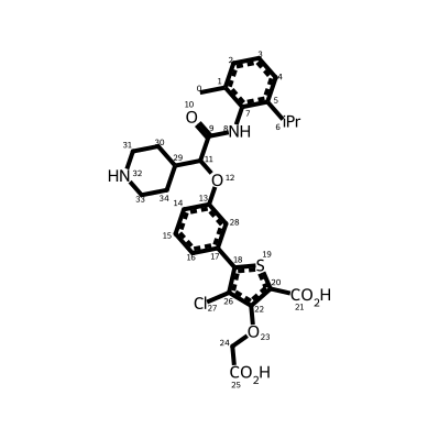 Cc1cccc(C(C)C)c1NC(=O)C(Oc1cccc(-c2sc(C(=O)O)c(OCC(=O)O)c2Cl)c1)C1CCNCC1